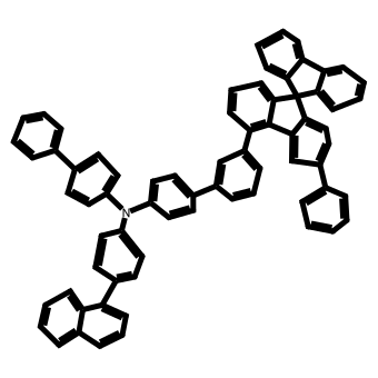 c1ccc(-c2ccc(N(c3ccc(-c4cccc(-c5cccc6c5-c5cc(-c7ccccc7)ccc5C65c6ccccc6-c6ccccc65)c4)cc3)c3ccc(-c4cccc5ccccc45)cc3)cc2)cc1